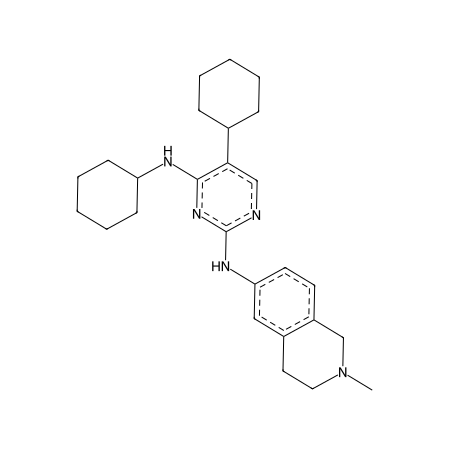 CN1CCc2cc(Nc3ncc(C4CCCCC4)c(NC4CCCCC4)n3)ccc2C1